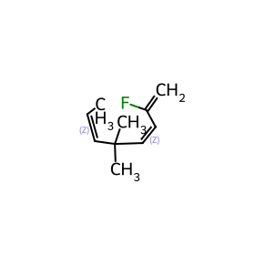 C=C(F)/C=C\C(C)(C)/C=C\C